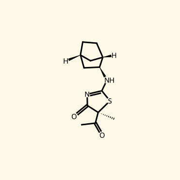 CC(=O)[C@]1(C)SC(N[C@H]2C[C@@H]3CC[C@H]2C3)=NC1=O